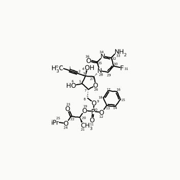 CC#C[C@@]1(O)C(O)[C@@H](CO[P@](=O)(Oc2ccccc2)O[C@@H](C)C(=O)OC(C)C)O[C@H]1n1cc(F)c(N)nc1=O